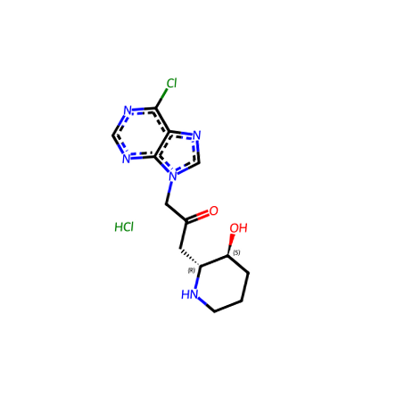 Cl.O=C(C[C@H]1NCCC[C@@H]1O)Cn1cnc2c(Cl)ncnc21